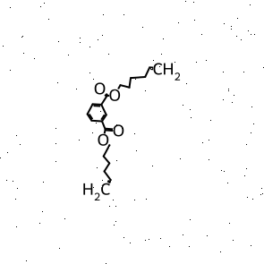 C=CCCCCOC(=O)c1cccc(C(=O)OCCCCC=C)c1